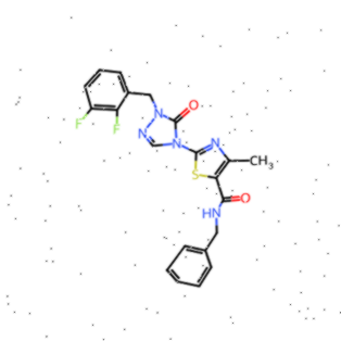 Cc1nc(-n2cnn(Cc3cccc(F)c3F)c2=O)sc1C(=O)NCc1ccccc1